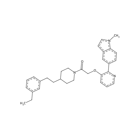 CCc1cccc(CCC2CCN(C(=O)COc3cccnc3-c3ccc4c(ccn4C)c3)CC2)c1